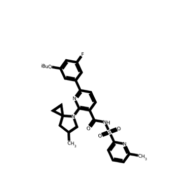 Cc1cccc(S(=O)(=O)NC(=O)c2ccc(-c3cc(F)cc(OCC(C)C)c3)nc2N2CC(C)CC23CC3)n1